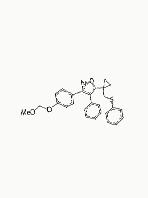 COCOc1ccc(-c2noc(C3(CSc4ccccc4)CC3)c2-c2ccccc2)cc1